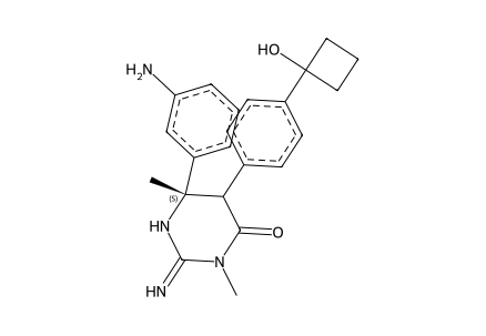 CN1C(=N)N[C@](C)(c2cccc(N)c2)C(c2ccc(C3(O)CCC3)cc2)C1=O